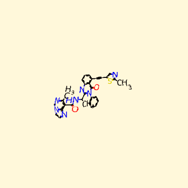 Cc1ncc(C#Cc2cccc3nc(C(C)NC(=O)c4c(C)ncn5ccnc45)n(-c4ccccc4)c(=O)c23)s1